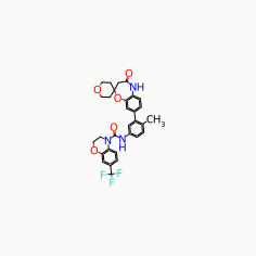 Cc1ccc(NC(=O)N2CCOc3cc(C(F)(F)F)ccc32)cc1-c1ccc2c(c1)OC1(CCOCC1)CC(=O)N2